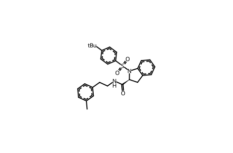 Cc1cccc(CCNC(=O)[C@@H]2Cc3ccccc3N2S(=O)(=O)c2ccc(C(C)(C)C)cc2)c1